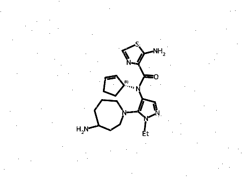 CCn1ncc(N(C(=O)c2ncsc2N)[C@H]2C=CCC2)c1N1CCCC(N)CC1